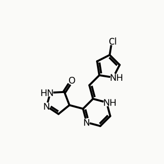 O=C1NN=CC1C1=NC=CNC1=Cc1cc(Cl)c[nH]1